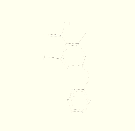 Cc1cc(Oc2ccccc2)cc(F)c1C(=O)S